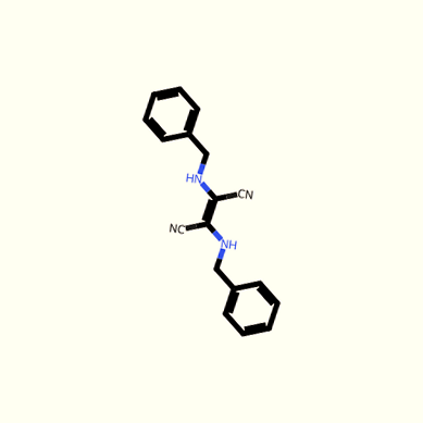 N#C/C(NCc1ccccc1)=C(/C#N)NCc1ccccc1